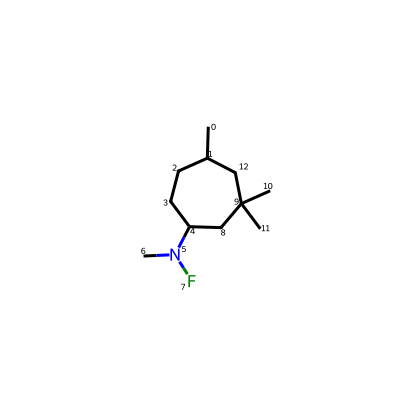 CC1CCC(N(C)F)CC(C)(C)C1